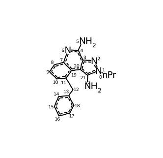 CCCn1nc2c(N)nc3cccc(Cc4ccccc4)c3c2c1N